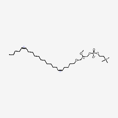 CCCC/C=C\CCCCCCCCCC/C=C\CCCCOC[C@H](COP(=O)([O-])OCC[N+](C)(C)C)OC